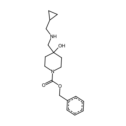 O=C(OCc1ccccc1)N1CCC(O)(CNCC2CC2)CC1